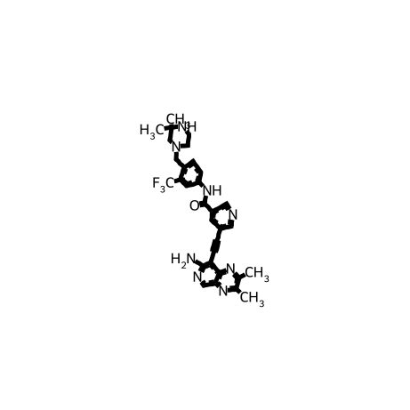 Cc1nc2cnc(N)c(C#Cc3cncc(C(=O)Nc4ccc(CN5CCNC(C)(C)C5)c(C(F)(F)F)c4)c3)c2nc1C